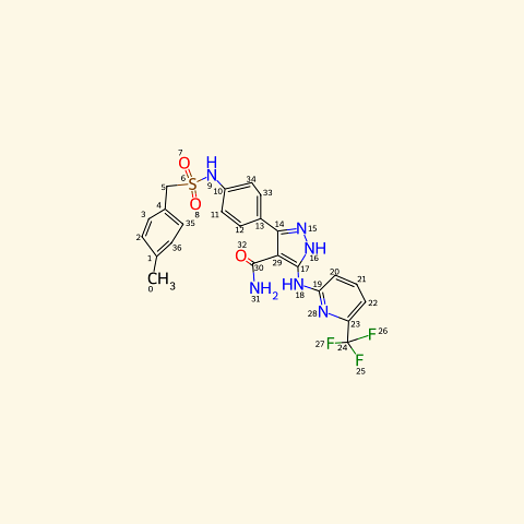 Cc1ccc(CS(=O)(=O)Nc2ccc(-c3n[nH]c(Nc4cccc(C(F)(F)F)n4)c3C(N)=O)cc2)cc1